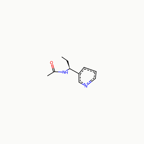 CC[C@H](NC(C)=O)c1cccnc1